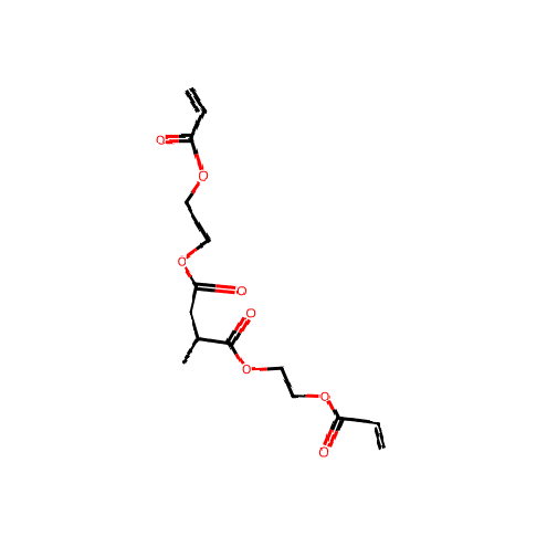 C=CC(=O)OCCOC(=O)CC(C)C(=O)OCCOC(=O)C=C